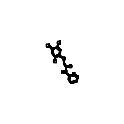 O=C(COc1cc(Cl)c(Cl)cc1Cl)Nc1ccccn1